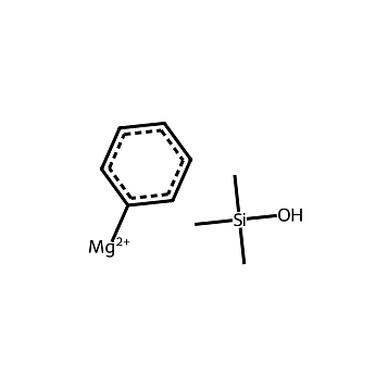 C[Si](C)(C)O.[Mg+2][c]1ccccc1